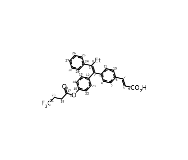 CC/C(=C(\c1ccc(/C=C/C(=O)O)cc1)c1ccc(OC(=O)CCC(F)(F)F)cc1)c1ccccc1